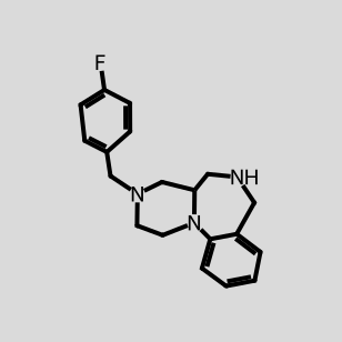 Fc1ccc(CN2CCN3c4ccccc4CNCC3C2)cc1